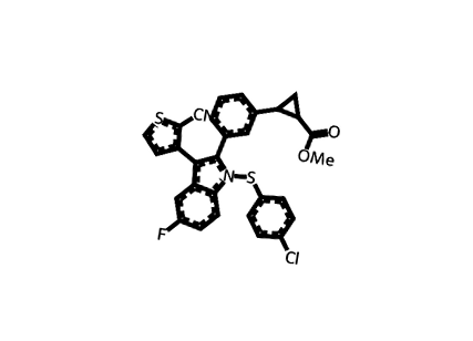 COC(=O)C1CC1c1cccc(-c2c(-c3ccsc3C#N)c3cc(F)ccc3n2Sc2ccc(Cl)cc2)c1